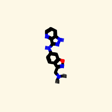 CCN(CC)Cc1noc2cc(Nc3n[nH]c4cccnc34)ccc12